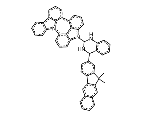 CC1(C)c2cc(C3NC(n4c5cccc6c7cccc8c9ccccc9n(c9cccc4c9c65)c78)Nc4ccccc43)ccc2-c2cc3ccccc3cc21